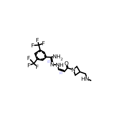 CNCC1CN(C(=O)/C=C\N/N=C(\N)c2cc(C(F)(F)F)cc(C(F)(F)F)c2)C1